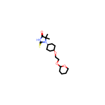 CC1(C)C(=O)NC(=S)N1[C@H]1CC[C@H](OCCOC2CCCCO2)CC1